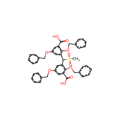 CS(=O)(=O)C(c1cc(OCc2ccccc2)cc(C(=O)O)c1OCc1ccccc1)c1cc(OCc2ccccc2)cc(C(=O)O)c1OCc1ccccc1